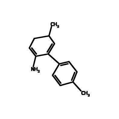 Cc1ccc(C2=CC(C)CC=C2N)cc1